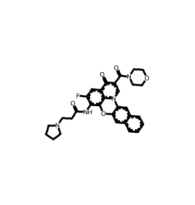 O=C(CCN1CCCC1)Nc1c(F)cc2c(=O)c(C(=O)N3CCOCC3)cn3c2c1Oc1cc2ccccc2cc1-3